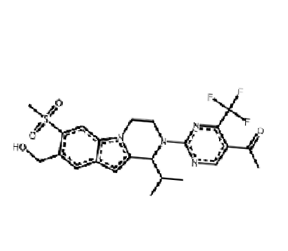 CC(=O)c1cnc(N2CCn3c(cc4cc(CO)c(S(C)(=O)=O)cc43)C2C(C)C)nc1C(F)(F)F